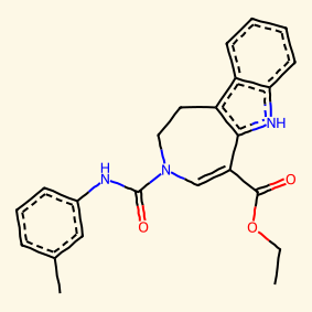 CCOC(=O)C1=CN(C(=O)Nc2cccc(C)c2)CCc2c1[nH]c1ccccc21